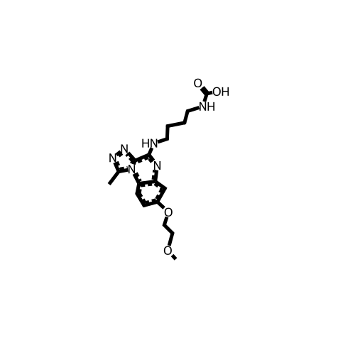 COCCOc1ccc2c(c1)nc(NCCCCNC(=O)O)c1nnc(C)n12